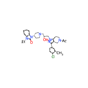 CCn1c(=O)n(C2CCN(CC(O)Cn3nc(-c4ccc(Cl)c(C)c4)c4c3CCN(C(C)=O)C4)CC2)c2ccccc21